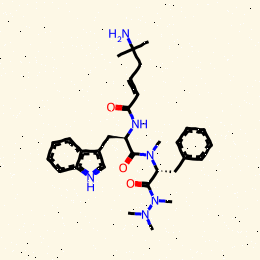 CN(C(=O)[C@@H](Cc1c[nH]c2ccccc12)NC(=O)/C=C/CC(C)(C)N)[C@H](Cc1ccccc1)C(=O)N(C)N(C)C